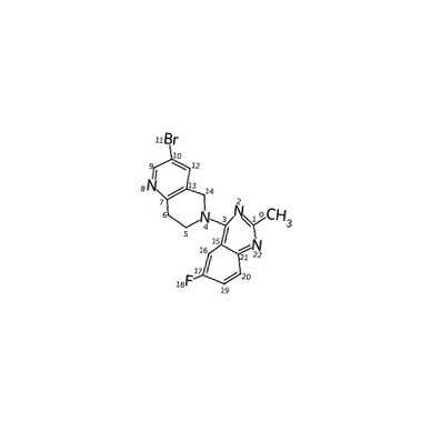 Cc1nc(N2CCc3ncc(Br)cc3C2)c2cc(F)ccc2n1